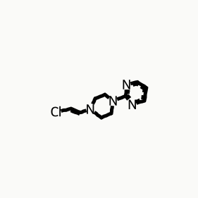 ClC=CN1CCN(c2ncccn2)CC1